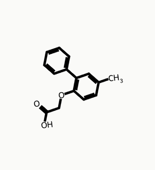 Cc1ccc(OCC(=O)O)c(-c2ccccc2)c1